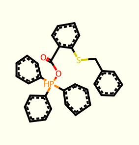 O=C(O[PH](c1ccccc1)(c1ccccc1)c1ccccc1)c1ccccc1SCc1ccccc1